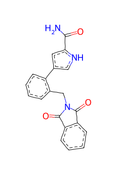 NC(=O)c1cc(-c2ccccc2CN2C(=O)c3ccccc3C2=O)c[nH]1